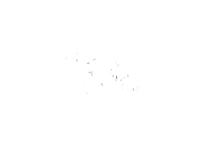 CC(C)(C)OC(=O)N[C@@H](CC1CCCCN1C(=O)OC(C)(C)C)C(=O)O